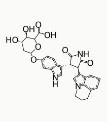 O=C(O)C1OC(Oc2ccc3c([C@@H]4C(=O)NC(=O)[C@H]4c4cn5c6c(cccc46)CCC5)c[nH]c3c2)C[C@H](O)[C@H]1O